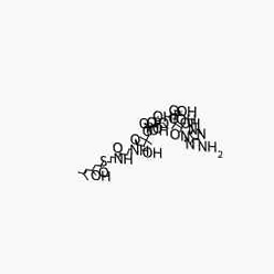 CC(C)=CC(O)CC(=O)SCCNC(=O)CCNC(=O)[C@H](O)C(C)(C)COP(=O)(O)OP(=O)(O)OC[C@H]1O[C@@H](n2cnc3c(N)ncnc32)[C@H](O)[C@@H]1OP(=O)(O)O